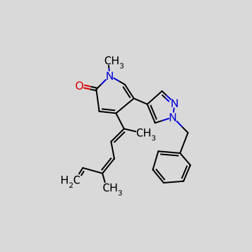 C=C/C(C)=C\C=C(/C)c1cc(=O)n(C)cc1-c1cnn(Cc2ccccc2)c1